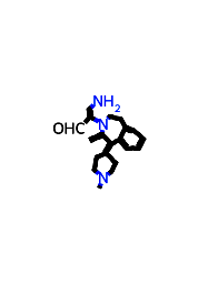 C=C1C(=C2CCN(C)CC2)c2ccccc2CCN1/C(C=O)=C\N